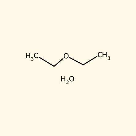 CCOCC.O